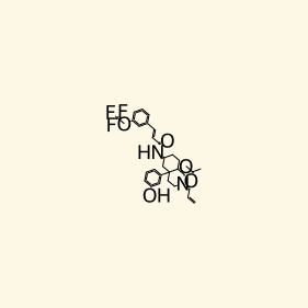 C=CCN1CCC2(c3cccc(O)c3)CC(NC(=O)/C=C/c3cccc(OC(F)(F)F)c3)CCC2(OC(C)=O)C1